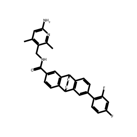 Cc1cc(N)nc(C)c1CNC(=O)c1ccc2c(c1)C1CCC2c2cc(-c3ccc(F)cc3F)ccc21